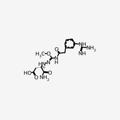 COC(=NN[C@@H](CC(=O)O)C(N)=O)NC(=O)Cc1cccc(NC(=N)N)c1